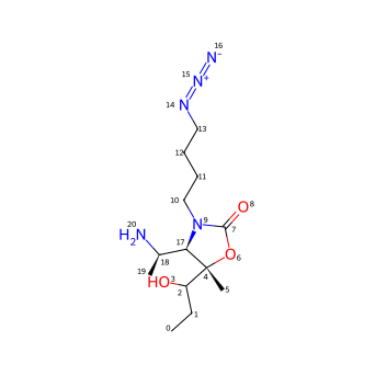 CCC(O)[C@@]1(C)OC(=O)N(CCCCN=[N+]=[N-])[C@@H]1[C@@H](C)N